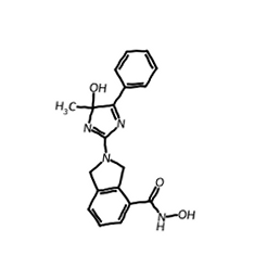 CC1(O)N=C(N2Cc3cccc(C(=O)NO)c3C2)N=C1c1ccccc1